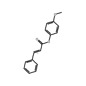 COc1ccc(OC(=O)/C=C/c2ccccc2)cc1